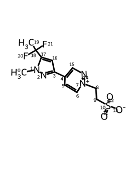 Cn1nc(-c2cc[n+](CCS(=O)(=O)[O-])nc2)cc1C(C)(F)F